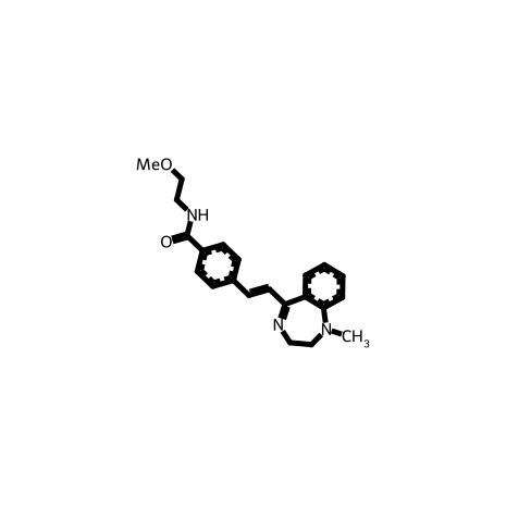 COCCNC(=O)c1ccc(C=CC2=NCCN(C)c3ccccc32)cc1